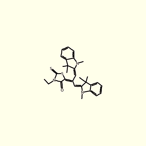 CCN1C(=O)C(=C(/C=C2/N(C)c3ccccc3C2(C)C)/C=C2/N(C)c3ccccc3C2(C)C)SC1=S